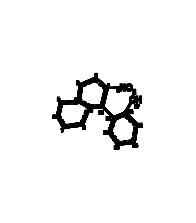 O=[N+]([O-])c1ccc2ccccc2c1-c1ccccc1O